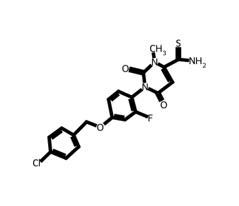 Cn1c(C(N)=S)cc(=O)n(-c2ccc(OCc3ccc(Cl)cc3)cc2F)c1=O